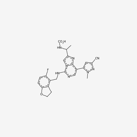 CC(NC(=O)O)c1cn2c(NCc3c(F)ccc4c3CCO4)ncc(-c3cc(C#N)nn3C)c2n1